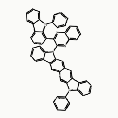 c1ccc(-n2c3ccccc3c3cc4cc5c(cc4cc32)c2ccccc2n5-c2nc3ccccc3nc2-c2cccc3c4ccccc4n(-c4ccccc4)c23)cc1